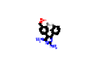 Nc1nc(N)c(-c2ccc(CO)cc2)c(-c2cccc(C(F)(F)F)c2)n1